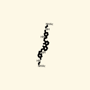 CC(=O)NCCNCc1ccc2cc(Cc3cccc(-c4cccc(Cc5cc6ccc(CNCCNC(C)=O)cc6[nH]5)c4C)c3C)[nH]c2c1